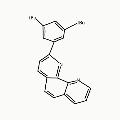 CC(C)(C)c1cc(-c2ccc3ccc4cccnc4c3n2)cc(C(C)(C)C)c1